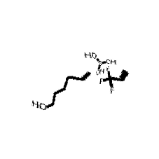 C=CC(F)(F)F.CCCCCCO.OB(O)O